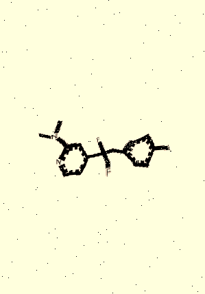 CN(C)c1cc(C(F)(F)c2ccc(I)cc2)ccn1